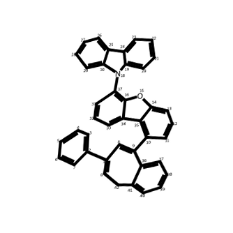 C1=C(c2ccccc2)C=C(c2cccc3oc4c(-n5c6ccccc6c6ccccc65)cccc4c23)c2ccccc2C1